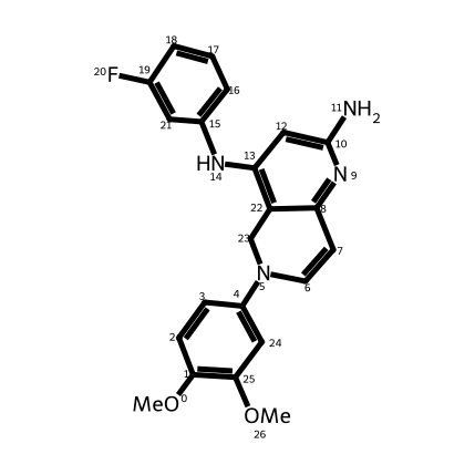 COc1ccc(N2C=Cc3nc(N)cc(Nc4cccc(F)c4)c3C2)cc1OC